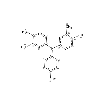 Cc1ccc(N(c2ccc(C=O)cc2)c2ccc(C)c(C)c2)cc1C